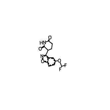 O=C1CCC(c2noc3ccc(OC(F)F)cc23)C(=O)N1